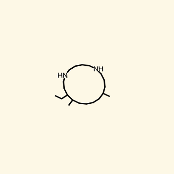 CCC1CCNCCCCNCCCC(C)CCCCC1C